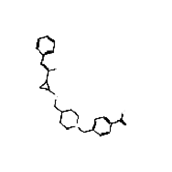 C=C(N)c1ccc(CN2CCC(CNC3CC3/C(C)=C/c3ccccc3)CC2)cc1